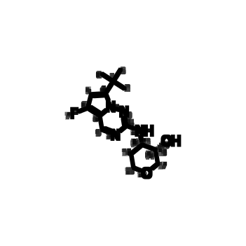 CC(C)(C)c1cc(F)c2cnc(N[C@@H]3CCOC[C@H]3O)nn12